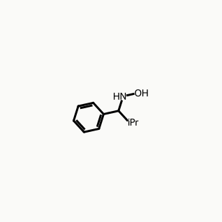 CC(C)C(NO)c1ccccc1